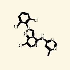 Cc1cc(Nc2ncc(Cl)c3nn(-c4c(Cl)cccc4Cl)cc23)ncn1